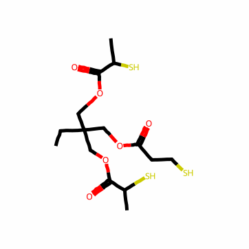 CCC(COC(=O)CCS)(COC(=O)C(C)S)COC(=O)C(C)S